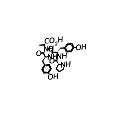 C[C@H](NC(=O)[C@H](Cc1ccc(O)cc1)NC(=O)[C@H](Cc1ccc(O)cc1)NC(=O)[C@@H]1CCCN1)C(=O)O